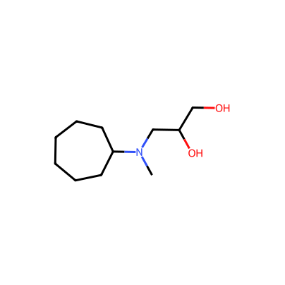 CN(CC(O)CO)C1CCCCCC1